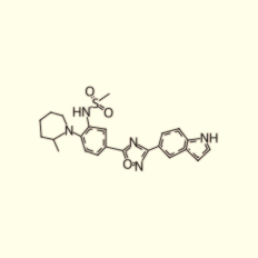 CC1CCCCN1c1ccc(-c2nc(-c3ccc4[nH]ccc4c3)no2)cc1NS(C)(=O)=O